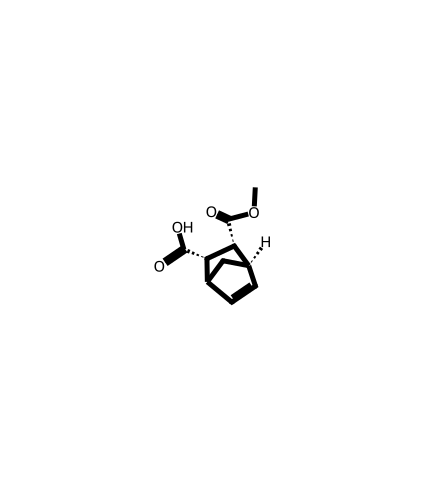 COC(=O)[C@@H]1[C@H]2C=CC(C2)[C@@H]1C(=O)O